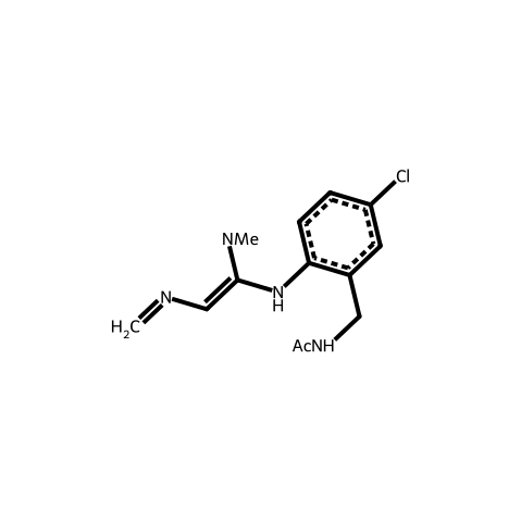 C=N/C=C(\NC)Nc1ccc(Cl)cc1CNC(C)=O